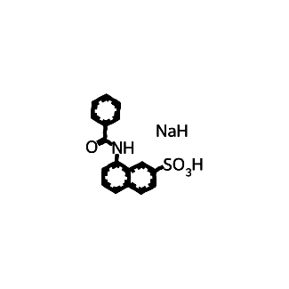 O=C(Nc1cccc2ccc(S(=O)(=O)O)cc12)c1ccccc1.[NaH]